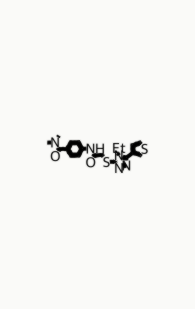 CCn1c(SCC(=O)Nc2ccc(C(=O)N(C)C)cc2)nnc1-c1ccsc1